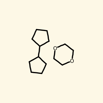 C1CCC(C2CCCC2)C1.C1COCCO1